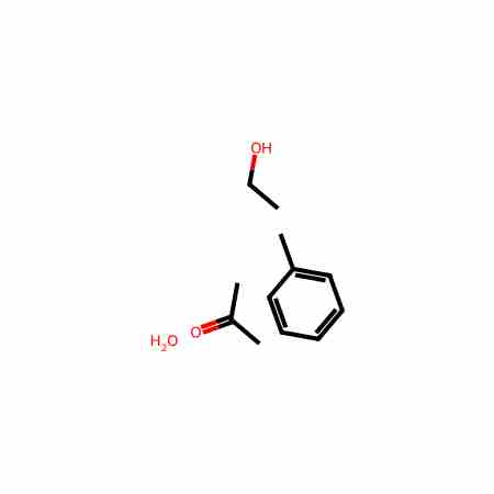 CC(C)=O.CCO.Cc1ccccc1.O